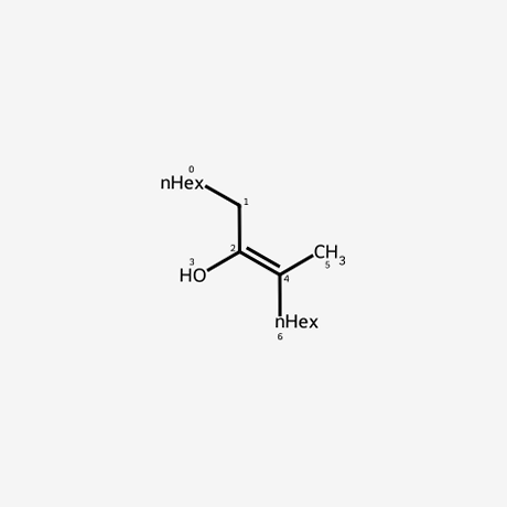 CCCCCCCC(O)=C(C)CCCCCC